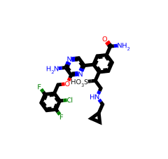 NC(=O)c1ccc(C(CNCC2CC2)S(=O)(=O)O)c(-c2cnc(N)c(OCc3c(F)ccc(F)c3Cl)n2)c1